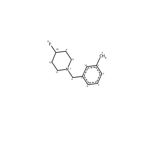 Cc1cccc(CN2CCC(F)CC2)c1